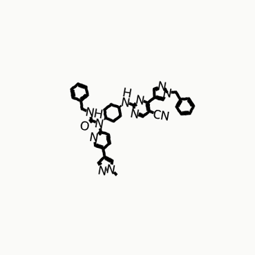 Cn1cc(-c2ccc(N(C(=O)NCc3ccccc3)[C@H]3CC[C@H](Nc4ncc(C#N)c(-c5cnn(Cc6ccccc6)c5)n4)CC3)nc2)cn1